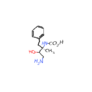 C[C@](Cc1ccccc1)(NC(=O)O)C(O)CN